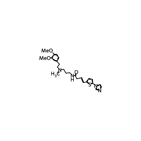 COc1ccc(CCN(C)CCCNC(=O)C/C=C/c2ccc(-n3ccnc3)s2)cc1OC